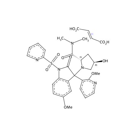 COc1ccc2c(c1)C(c1cccnc1OC)(N1C[C@H](O)C[C@H]1C(=O)N(C)C)C(=O)N2S(=O)(=O)c1ccccn1.O=C(O)/C=C/C(=O)O